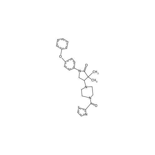 CC1(C)C(=O)N(c2ccc(Oc3ccccc3)cc2)CC1N1CCN(C(=O)c2nccs2)CC1